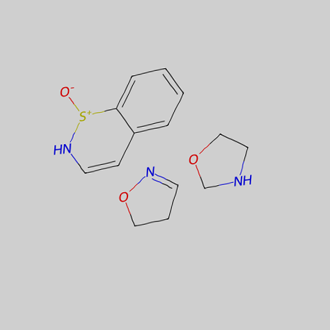 C1=NOCC1.C1COCN1.[O-][S+]1NC=Cc2ccccc21